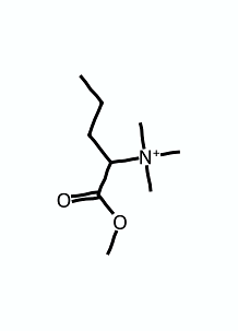 CCCC(C(=O)OC)[N+](C)(C)C